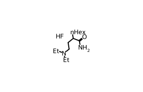 CCCCCCC(CCN(CC)CC)C(N)=O.F